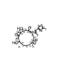 CC(=Cc1csc(C)n1)[C@@H]1C[C@@H]2O[C@]2(C)CCC[C@H](C)[C@@H](O)[C@@H](C)C(=O)C(C)(C)[C@@H](O)CC(=O)N1